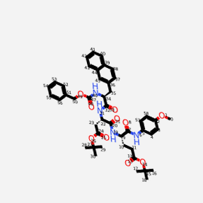 COc1ccc(NC(=O)[C@H](CCC(=O)OC(C)(C)C)NC(=O)[C@H](CC(=O)OC(C)(C)C)NC(=O)[C@H](Cc2ccc3ccccc3c2)NC(=O)OCc2ccccc2)cc1